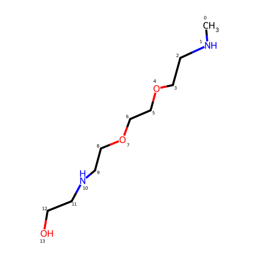 CNCCOCCOCCNCCO